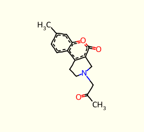 CC(=O)CN1CCc2c(c(=O)oc3cc(C)ccc23)C1